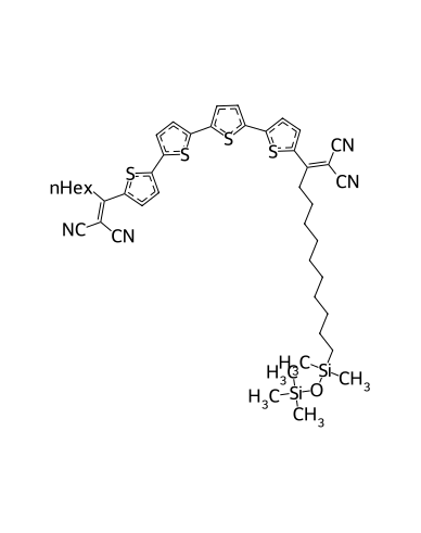 CCCCCCC(=C(C#N)C#N)c1ccc(-c2ccc(-c3ccc(-c4ccc(C(CCCCCCCCCC[Si](C)(C)O[Si](C)(C)C)=C(C#N)C#N)s4)s3)s2)s1